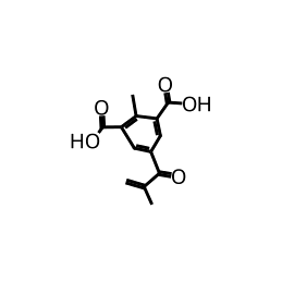 C=C(C)C(=O)c1cc(C(=O)O)c(C)c(C(=O)O)c1